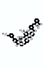 CCc1cccc(-c2cnc(C(=O)N3CCN(CC4CCN(CC(=O)N5CCN(C(=O)c6cc(Cc7n[nH]c(=O)c8ccccc78)ccc6F)CC5)CC4)CC3)c(NC(=O)CNCC3CCC(=O)N(C)C3)c2)c1